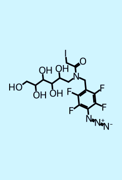 [N-]=[N+]=Nc1c(F)c(F)c(CN(CC(O)C(O)C(O)C(O)CO)C(=O)CI)c(F)c1F